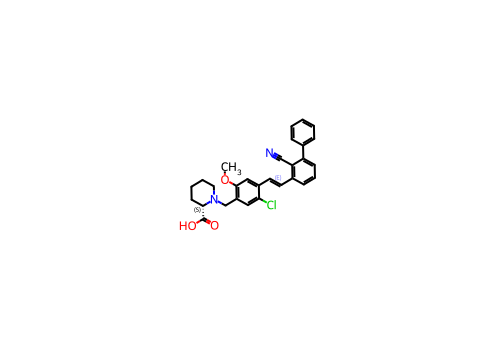 COc1cc(/C=C/c2cccc(-c3ccccc3)c2C#N)c(Cl)cc1CN1CCCC[C@H]1C(=O)O